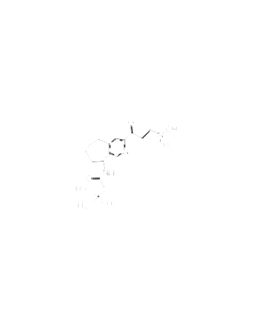 CN(C)C=CC(=O)c1cc2c(cn1)C(NC(=O)OC(C)(C)C)CCCC2